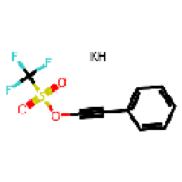 O=S(=O)(OC#Cc1ccccc1)C(F)(F)F.[KH]